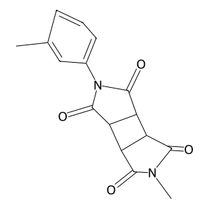 Cc1cccc(N2C(=O)C3C4C(=O)N(C)C(=O)C4C3C2=O)c1